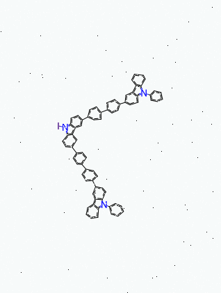 In1c2ccc(-c3ccc(-c4ccc(-c5ccc6c(c5)c5ccccc5n6-c5ccccc5)cc4)cc3)cc2c2cc(-c3ccc(-c4ccc(-c5ccc6c(c5)c5ccccc5n6-c5ccccc5)cc4)cc3)ccc21